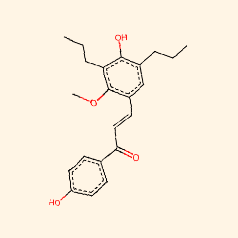 CCCc1cc(C=CC(=O)c2ccc(O)cc2)c(OC)c(CCC)c1O